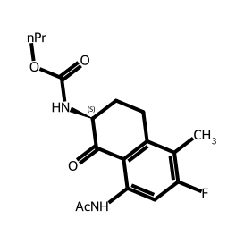 CCCOC(=O)N[C@H]1CCc2c(C)c(F)cc(NC(C)=O)c2C1=O